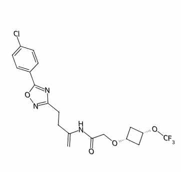 C=C(CCc1noc(-c2ccc(Cl)cc2)n1)NC(=O)CO[C@H]1C[C@@H](OC(F)(F)F)C1